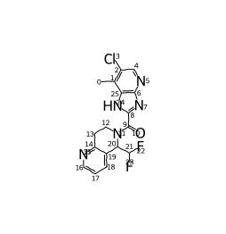 Cc1c(Cl)cnc2nc(C(=O)N3CCc4ncccc4C3C(F)F)[nH]c12